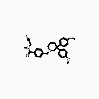 COc1ccc(C2(c3ccc(OC)cc3)CCCN(Cc3ccc(C(=O)N(C)CC#N)cc3)C2)cc1